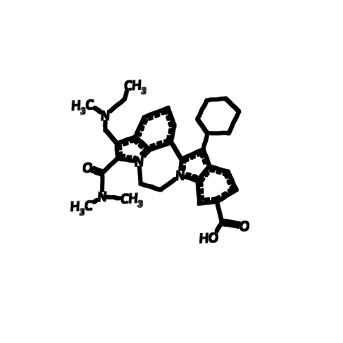 CCN(C)Cc1c(C(=O)N(C)C)n2c3c(cccc13)-c1c(C3CCCCC3)c3ccc(C(=O)O)cc3n1CC2